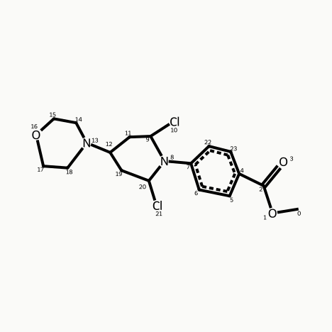 COC(=O)c1ccc(N2C(Cl)CC(N3CCOCC3)CC2Cl)cc1